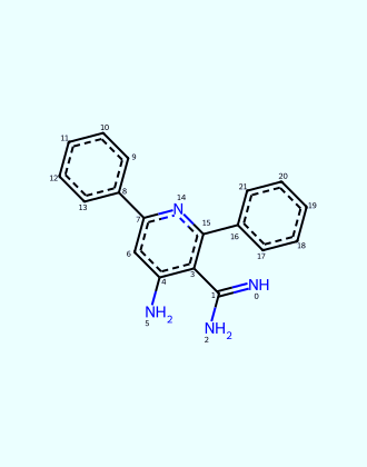 N=C(N)c1c(N)cc(-c2ccccc2)nc1-c1ccccc1